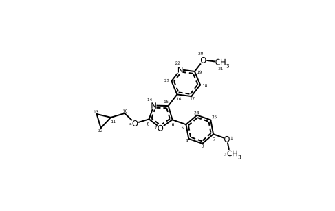 COc1ccc(-c2oc(OCC3CC3)nc2-c2ccc(OC)nc2)cc1